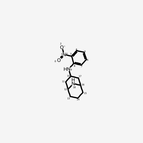 O=[N+]([O-])c1ccccc1NC1CC2CCCC(C1)N2